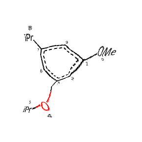 COc1cc(OC(C)C)cc(C(C)C)c1